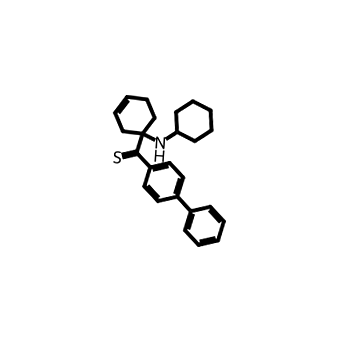 S=C(c1ccc(-c2ccccc2)cc1)C1(NC2CCCCC2)CC=CCC1